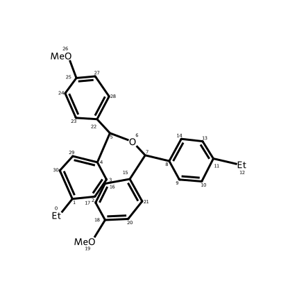 CCc1ccc(C(OC(c2ccc(CC)cc2)c2ccc(OC)cc2)c2ccc(OC)cc2)cc1